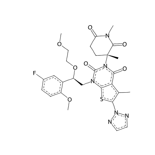 COCCO[C@@H](Cn1c(=O)n([C@]2(C)CCC(=O)N(C)C2=O)c(=O)c2c(C)c(-n3nccn3)sc21)c1cc(F)ccc1OC